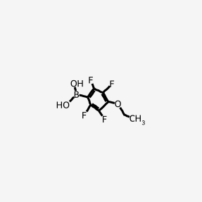 CCOc1c(F)c(F)c(B(O)O)c(F)c1F